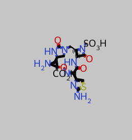 NCC1CN(C[C@@H]2[C@H](NC(=O)C(=NOC3(C(=O)O)CC3)c3csc(N)n3)C(=O)N2S(=O)(=O)O)C(=O)N1